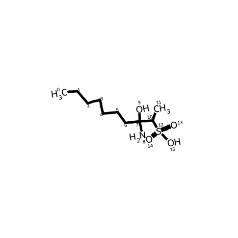 CCCCCCCC(N)(O)C(C)S(=O)(=O)O